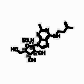 C=C(C)CCNc1nc(C)nc2c1ncn2[C@]1(S(=O)(=O)O)O[C@H](CO)[C@@H](O)[C@H]1O